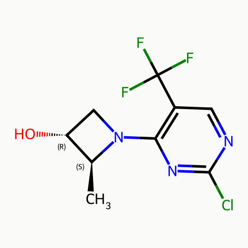 C[C@H]1[C@H](O)CN1c1nc(Cl)ncc1C(F)(F)F